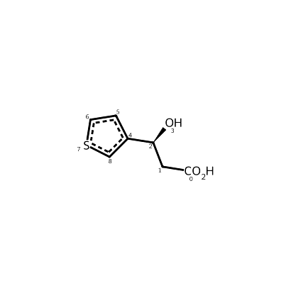 O=C(O)C[C@H](O)c1ccsc1